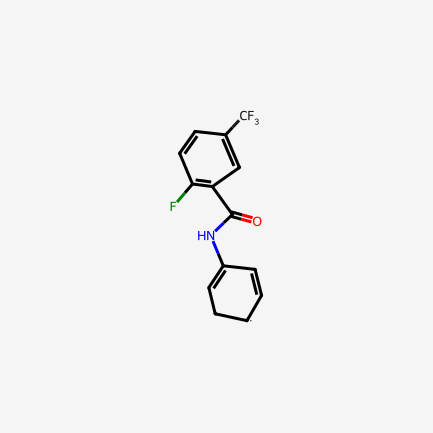 O=C(NC1=CC[CH]C=C1)c1cc(C(F)(F)F)ccc1F